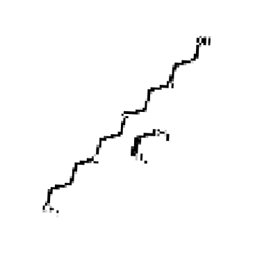 C=CC.CCCCOCCOCCOCCO